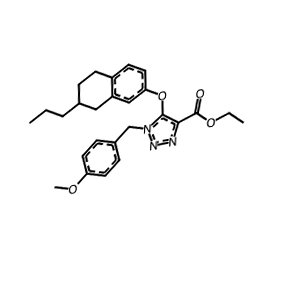 CCCC1CCc2ccc(Oc3c(C(=O)OCC)nnn3Cc3ccc(OC)cc3)cc2C1